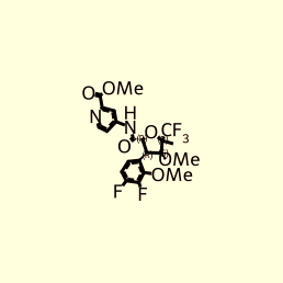 COC(=O)c1cc(NC(=O)[C@@H]2O[C@@](C)(C(F)(F)F)[C@@H](OC)[C@H]2c2ccc(F)c(F)c2OC)ccn1